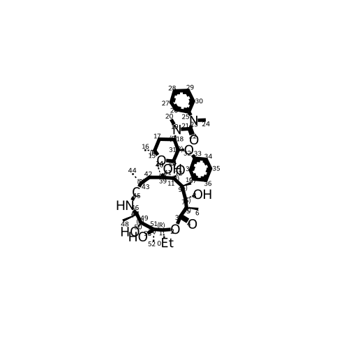 CC[C@H]1OC(=O)[C@H](C)[C@@H](O)[C@H](C)[C@@H](O[C@@H]2O[C@H](C)C[C@H](N(C)C(=O)N(C)c3ccccc3)[C@H]2Oc2ccccc2)[C@](C)(O)C[C@@H](C)CN[C@H](C)[C@@H](O)[C@]1(C)O